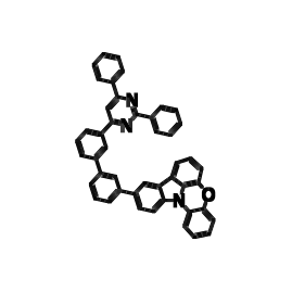 c1ccc(-c2cc(-c3cccc(-c4cccc(-c5ccc6c(c5)c5cccc7c5n6-c5ccccc5O7)c4)c3)nc(-c3ccccc3)n2)cc1